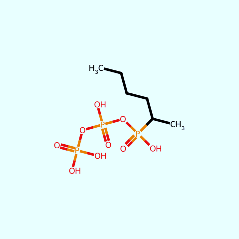 CCCCC(C)P(=O)(O)OP(=O)(O)OP(=O)(O)O